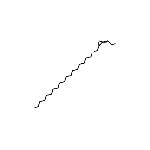 CCC=C1OC1COCCCCCCCCCCCCCCCCCC